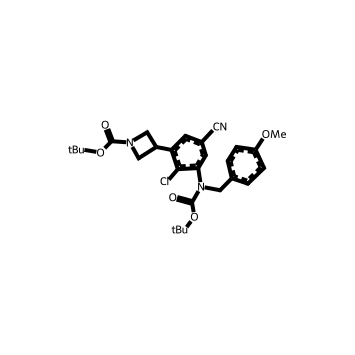 COc1ccc(CN(C(=O)OC(C)(C)C)c2cc(C#N)cc(C3CN(C(=O)OC(C)(C)C)C3)c2Cl)cc1